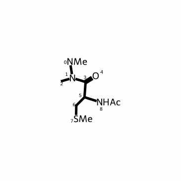 CNN(C)C(=O)C(CSC)NC(C)=O